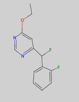 CCOc1cc(C(F)c2ccccc2F)ncn1